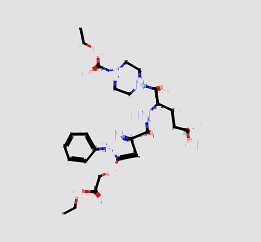 CCOC(=O)COc1cc(C(=O)NC(CCC(=O)O)C(=O)N2CCN(C(=O)OCC)CC2)nn1-c1ccccc1